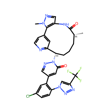 C[C@@H]1CCC[C@H](n2ncc(-c3cc(Cl)ccc3-n3cc(C(F)(F)F)nn3)cc2=O)c2cc(ccn2)-c2c(cnn2C)NC1=O